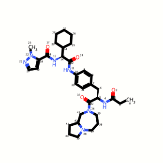 CCC(=O)N[C@H](Cc1ccc(NC(=O)[C@@H](NC(=O)c2ccnn2C)C2CCCCC2)cc1)C(=O)N1CCCN2CCCC2C1